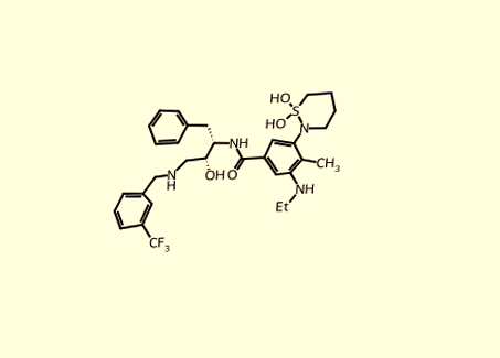 CCNc1cc(C(=O)N[C@@H](Cc2ccccc2)[C@H](O)CNCc2cccc(C(F)(F)F)c2)cc(N2CCCCS2(O)O)c1C